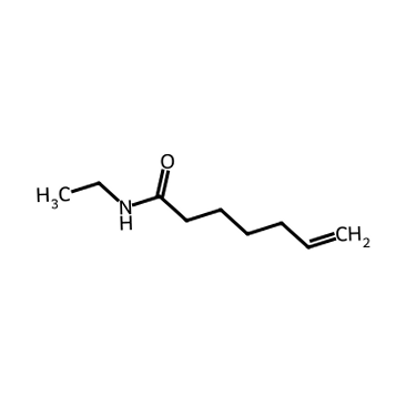 C=CCCCCC(=O)NCC